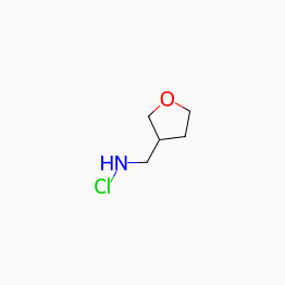 ClNCC1CCOC1